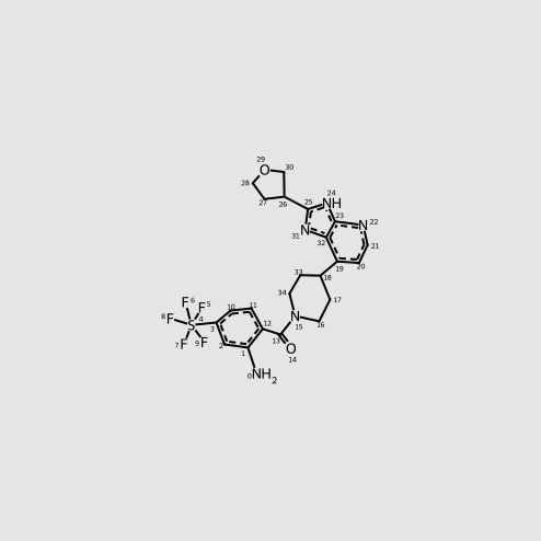 Nc1cc(S(F)(F)(F)(F)F)ccc1C(=O)N1CCC(c2ccnc3[nH]c(C4CCOC4)nc23)CC1